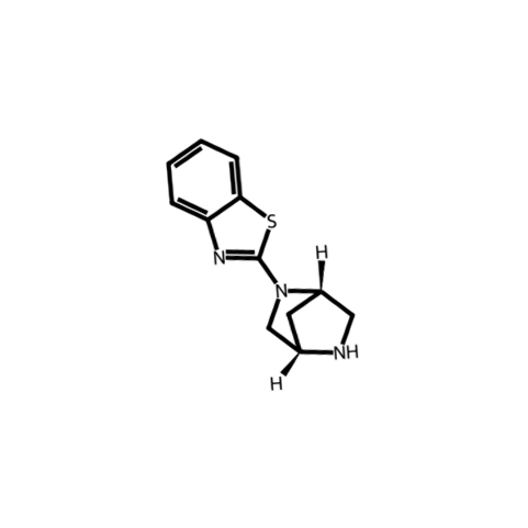 c1ccc2sc(N3C[C@@H]4C[C@H]3CN4)nc2c1